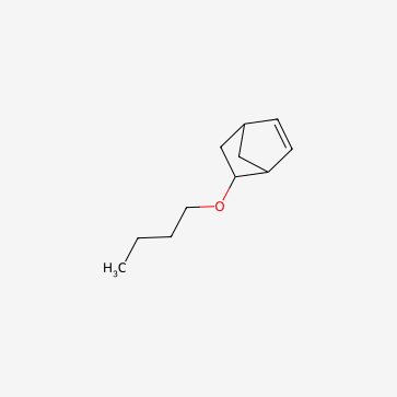 CCCCOC1CC2C=CC1C2